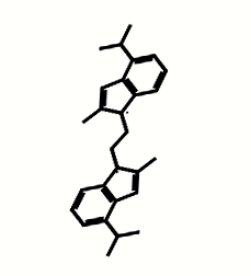 CC1=Cc2c(cccc2C(C)C)[C]1CC[C]1C(C)=Cc2c1cccc2C(C)C